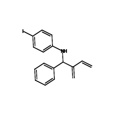 C=CC(=C)C(Nc1ccc(I)cc1)c1ccccc1